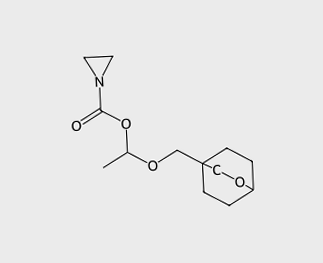 CC(OCC12CCC(CC1)OC2)OC(=O)N1CC1